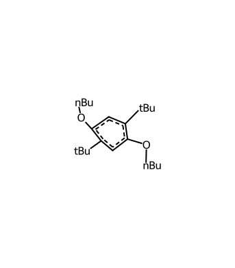 CCCCOc1cc(C(C)(C)C)c(OCCCC)cc1C(C)(C)C